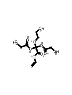 C=COC(=O)C(OCCO)(OC(=O)CS)OC(=O)CS